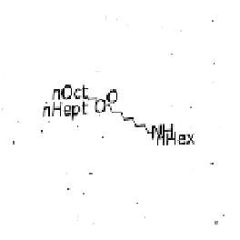 CCCCCCCCC(CCCCCCC)COC(=O)CCCCCCCNCCCCCC